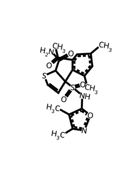 CC(=O)c1cc(C)cc(C)c1C1(S(=O)(=O)Nc2onc(C)c2C)C=CSC1C(N)=O